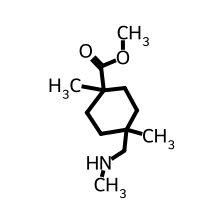 CNCC1(C)CCC(C)(C(=O)OC)CC1